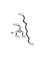 CCCCCCCCCC.CO[SiH](OC)OC.F